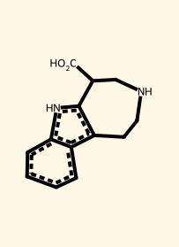 O=C(O)C1CNCCc2c1[nH]c1ccccc21